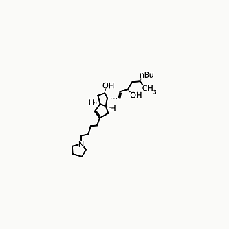 CCCC[C@H](C)C[C@H](O)/C=C/[C@@H]1[C@H]2CC(CCCCN3CCCC3)=C[C@H]2C[C@H]1O